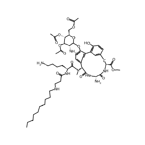 CCCCCCCCCCNCCC(=O)N[C@@H](CCCCN)C(=O)N(C)[C@@H]1C(=O)N[C@@H](N)C(=O)N[C@H](C(=O)OC)Cc2ccc(O)c(c2)-c2cc1ccc2OC1O[C@H](COC(C)=O)[C@@H](OC(C)=O)[C@H](OC(C)=O)[C@H]1N